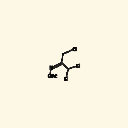 CC(=O)ON=C(CCl)C(Cl)Cl